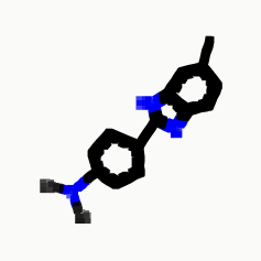 CCN(CC)c1ccc(-c2nc3ccc(C)cc3[nH]2)cc1